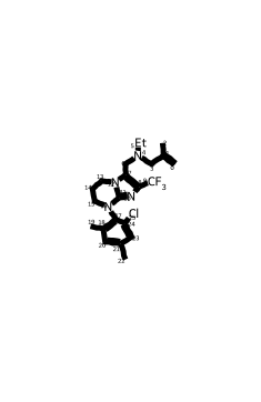 C=C(C)CN(CC)Cc1c(C(F)(F)F)nc2n1CCCN2c1c(C)cc(C)cc1Cl